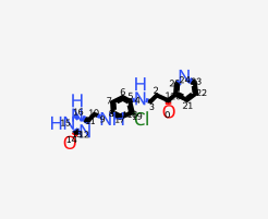 O=C(CCNc1ccc(NCc2nc(=O)[nH][nH]2)cc1Cl)c1cccnc1